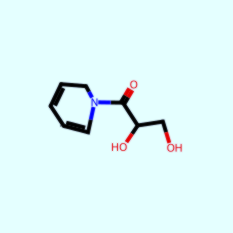 O=C(C(O)CO)N1C=[C]C=CC1